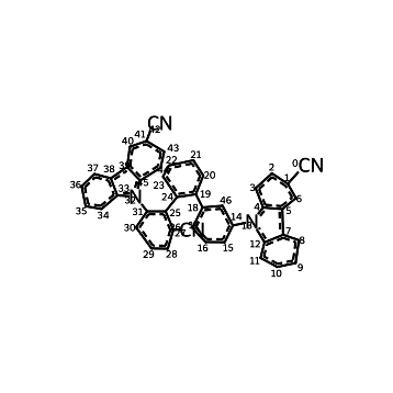 N#Cc1ccc2c(c1)c1ccccc1n2-c1cccc(-c2ccccc2-c2c(C#N)cccc2-n2c3ccccc3c3cc(C#N)ccc32)c1